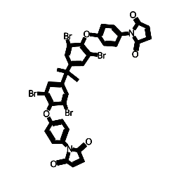 CC(C)(c1cc(Br)c(Oc2ccc(N3C(=O)C=CC3=O)cc2)c(Br)c1)c1cc(Br)c(Oc2ccc(N3C(=O)C=CC3=O)cc2)c(Br)c1